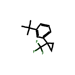 CC(C)(C)c1cccc(C2(C(F)(F)F)CC2)c1